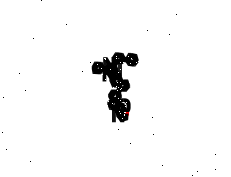 c1ccc(-c2cccc(-c3nc(-c4ccccc4)nc(-c4ccc5c(-c6ccc7ccc8c9ncccc9oc8c7c6)cccc5c4)n3)c2)cc1